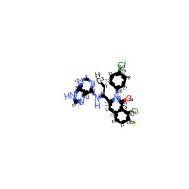 CC[C@H](Nc1ncnc2[nH]cnc12)c1cc2ccc(F)c(Cl)c2c(=O)n1-c1ccc(Cl)cc1